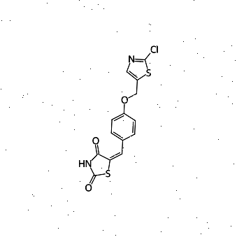 O=C1NC(=O)/C(=C\c2ccc(OCc3cnc(Cl)s3)cc2)S1